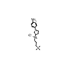 C[N+](C)(CCC[Si](C)(C)C)C1CCN(c2ccc(N)cc2)C1.[Cl-]